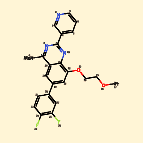 CNc1nc(-c2cccnc2)nc2c(OCCOC(C)C)cc(-c3ccc(F)c(F)c3)cc12